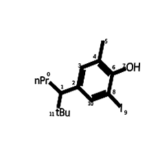 CCCC(c1cc(C)c(O)c(I)c1)C(C)(C)C